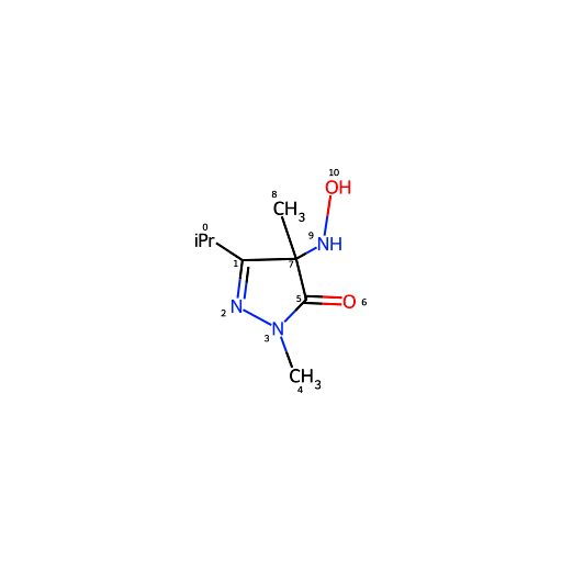 CC(C)C1=NN(C)C(=O)C1(C)NO